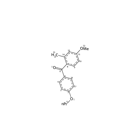 CCCOc1ccc(C(=O)c2ccc(OC)cc2C)cc1